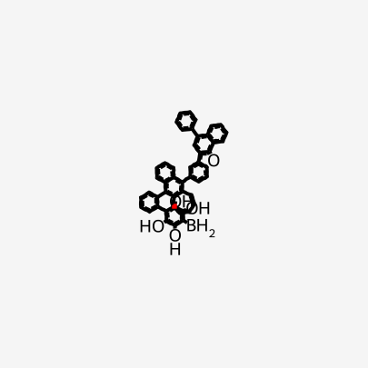 Bc1c(O)c(O)c(-c2ccccc2-c2c3c(c(-c4ccc5oc6c7ccccc7c(-c7ccccc7)cc6c5c4)c4ccccc24)C=CC=CC3)c(O)c1O